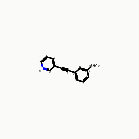 COc1[c]ccc(C#Cc2cccnc2)c1